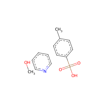 CO.Cc1ccc(S(=O)(=O)O)cc1.c1ccncc1